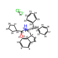 O=C([NH][Hf+2]([CH]1C=Cc2ccccc21)[SiH](c1ccccc1)c1ccccc1)C1CCCC1.[Cl-].[Cl-]